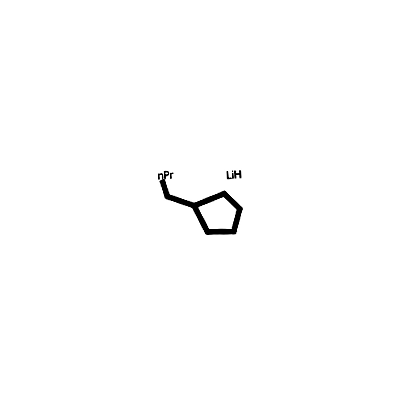 [CH2]CCCC1CCCC1.[LiH]